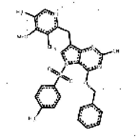 COc1c(C)cnc(Cc2cn(S(=O)(=O)c3ccc(C)cc3)c3c(OCc4ccccc4)nc(C)nc23)c1C